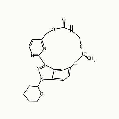 C[C@@H]1CCNC(=O)OCc2ccnc(n2)-c2nn(C3CCCCO3)c3ccc(cc23)O1